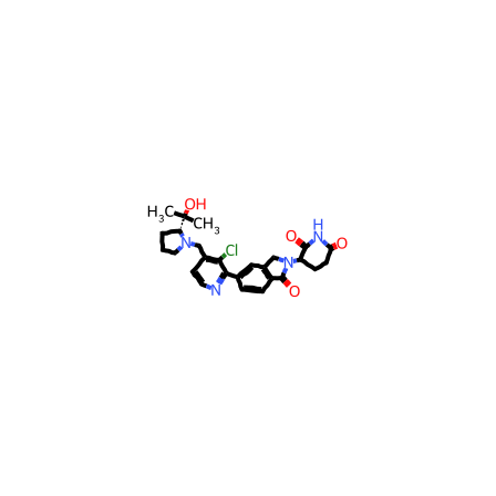 CC(C)(O)[C@H]1CCCN1Cc1ccnc(-c2ccc3c(c2)CN(C2CCC(=O)NC2=O)C3=O)c1Cl